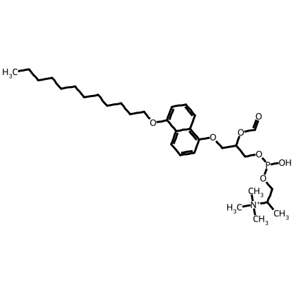 CCCCCCCCCCCCOc1cccc2c(OCC(COP(O)OCC(C)[N+](C)(C)C)OC=O)cccc12